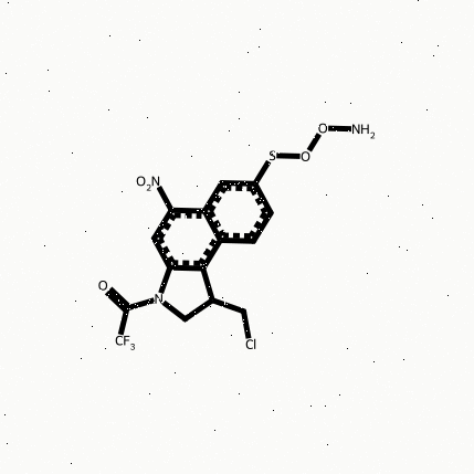 NOOSc1ccc2c3c(cc([N+](=O)[O-])c2c1)N(C(=O)C(F)(F)F)CC3CCl